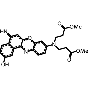 COC(=O)CCN(CCC(=O)OC)c1ccc2nc3c4cc(O)ccc4c(=N)cc-3oc2c1